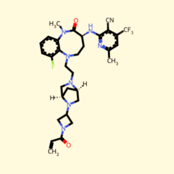 C=CC(=O)N1CC(N2C[C@H]3C[C@@H]2CN3CCN2CC[C@H](Nc3nc(C)cc(C(F)(F)F)c3C#N)C(=O)N(C)c3cccc(F)c32)C1